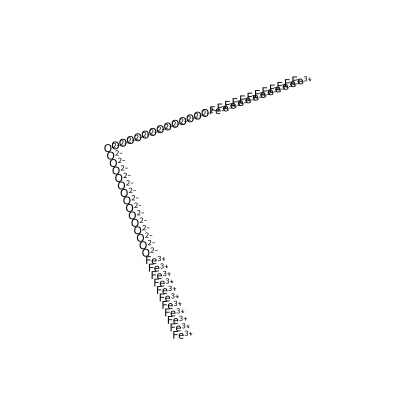 [Fe+3].[Fe+3].[Fe+3].[Fe+3].[Fe+3].[Fe+3].[Fe+3].[Fe+3].[Fe+3].[Fe+3].[Fe+3].[Fe+3].[Fe+3].[Fe+3].[Fe+3].[Fe+3].[Fe+3].[Fe+3].[Fe+3].[Fe+3].[Fe+3].[Fe+3].[Fe+3].[O-2].[O-2].[O-2].[O-2].[O-2].[O-2].[O-2].[O-2].[O-2].[O-2].[O-2].[O-2].[O-2].[O-2].[O-2].[O-2].[O-2].[O-2].[O-2].[O-2].[O-2].[O-2].[O-2].[O-2].[O-2].[O-2].[O-2].[O-2]